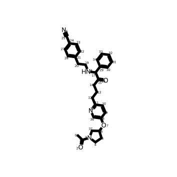 CC(=O)N1CCC(Oc2ccc(CCCC(=O)C(NCCc3ccc(C#N)cc3)c3ccccc3)nc2)C1